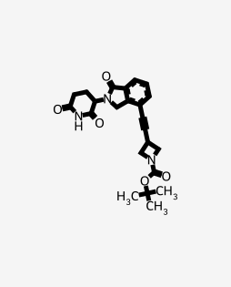 CC(C)(C)OC(=O)N1CC(C#Cc2cccc3c2CN(C2CCC(=O)NC2=O)C3=O)C1